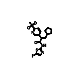 CS(=O)(=O)c1ccc(/C(=C\C2CCCC2)C(=O)Nc2ncc(F)s2)cn1